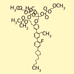 C=COCC(COC(=O)C(=O)OCCOC)(COC(=O)C(=O)OCCOC)COc1ccc(-c2ccc(-c3ccc(C4CCC(CCCCC)CC4)cc3F)cc2CC)cc1CCCOC(=O)C(=C)C